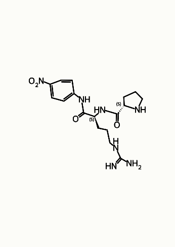 N=C(N)NCCC[C@H](NC(=O)[C@@H]1CCCN1)C(=O)Nc1ccc([N+](=O)[O-])cc1